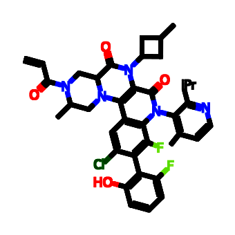 C=CC(=O)N1CC2C(=O)N(C3CC(C)C3)c3c(c4cc(Cl)c(-c5c(O)cccc5F)c(F)c4n(-c4c(C)ccnc4C(C)C)c3=O)N2CC1C